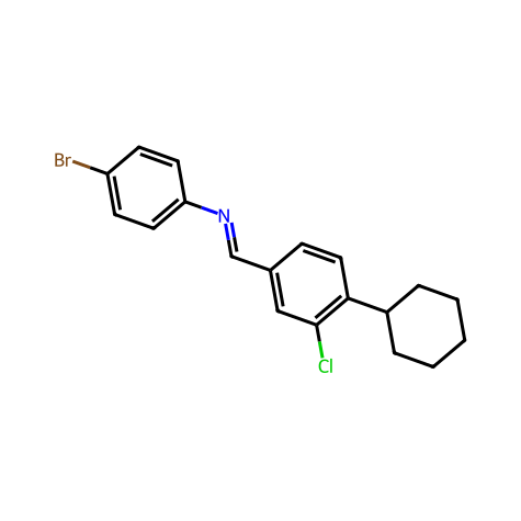 Clc1cc(C=Nc2ccc(Br)cc2)ccc1C1CCCCC1